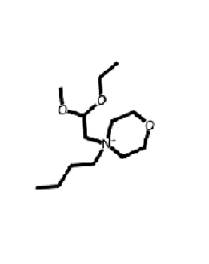 CCCC[N+]1(CC(OC)OCC)CCOCC1